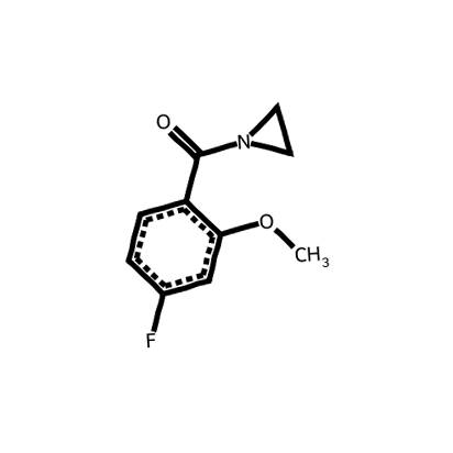 COc1cc(F)ccc1C(=O)N1CC1